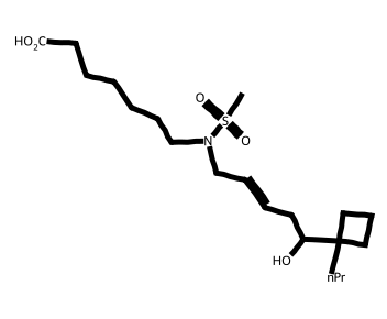 CCCC1(C(O)C/C=C/CN(CCCCCCC(=O)O)S(C)(=O)=O)CCC1